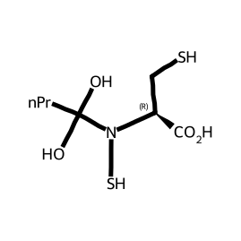 CCCC(O)(O)N(S)[C@@H](CS)C(=O)O